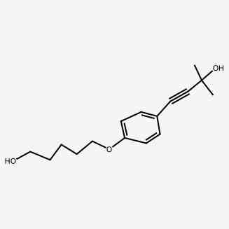 CC(C)(O)C#Cc1ccc(OCCCCCO)cc1